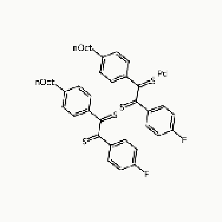 CCCCCCCCc1ccc(C(=S)C(=S)c2ccc(F)cc2)cc1.CCCCCCCCc1ccc(C(=S)C(=S)c2ccc(F)cc2)cc1.[Pd]